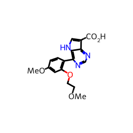 COCCOc1cc(OC)ccc1-c1ncnc2c(C(=O)O)c[nH]c12